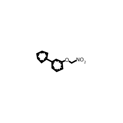 O=[N+]([O-])COc1cccc(-c2ccccc2)c1